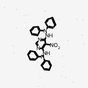 O=[N+]([O-])c1c(NN(c2ccccc2)c2ccccc2)ncnc1NN(c1ccccc1)c1ccccc1